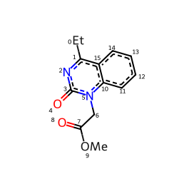 CCc1nc(=O)n(CC(=O)OC)c2ccccc12